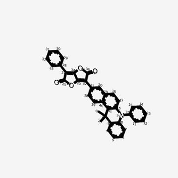 CC1(C)c2ccccc2N(c2ccccc2)c2ccc3cc(C4=C5OC(=O)C(c6ccccc6)=C5OC4=O)ccc3c21